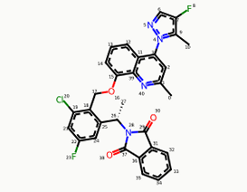 Cc1cc(-n2ncc(F)c2C)c2cccc(OCc3c(Cl)cc(F)cc3[C@H](C)N3C(=O)c4ccccc4C3=O)c2n1